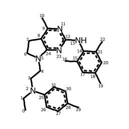 CCN(CCN1CCc2c(C)nc(Nc3c(C)cc(C)cc3C)nc21)c1ccc(C)cc1